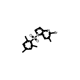 Cc1cc(C)c(S(=O)(=O)n2ccc3nc(Br)c(C)cc32)c(C)c1